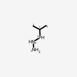 CC(C)PNN